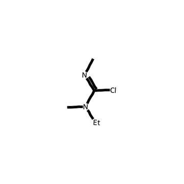 CCN(C)/C(Cl)=N/C